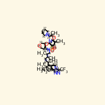 C=C(/C=C\C(C)=C(/C)CN1CC2(CCOCC2)Oc2nc(O[C@H](C)CN3CCCCC3)c(C)cc2S1(=O)=O)[C@@H](c1ccn2c(C(F)(F)F)nnc2c1C)C(C)(C)C(=O)O